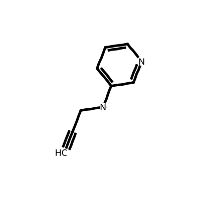 C#CC[N]c1cccnc1